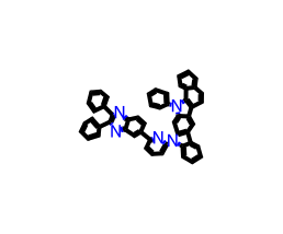 c1ccc(-c2nc3ccc(-c4cccc(-n5c6ccccc6c6cc7c8ccc9ccccc9c8n(-c8ccccc8)c7cc65)n4)cc3nc2-c2ccccc2)cc1